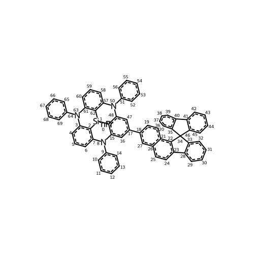 CCC[Si]12c3c4cccc3N(c3ccccc3)c3cc(-c5ccc6c7c(ccc6c5)-c5ccccc5C75c6ccccc6-c6ccccc65)cc(c31)N(c1ccccc1)c1cccc(c12)N4c1ccccc1